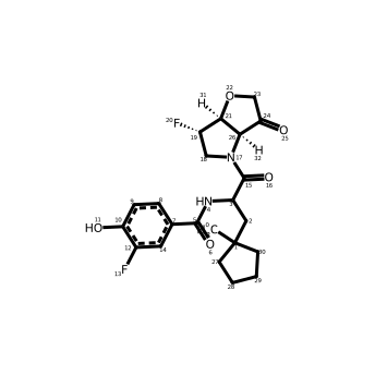 CC1(CC(NC(=O)c2ccc(O)c(F)c2)C(=O)N2C[C@H](F)[C@H]3OCC(=O)[C@H]32)CCCC1